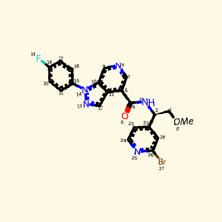 COC[C@H](NC(=O)c1cncc2c1cnn2-c1ccc(F)cc1)c1ccnc(Br)c1